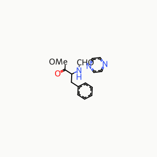 COC(=O)C(Cc1ccccc1)NC=O.c1cnccn1